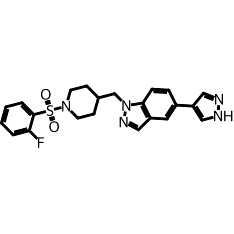 O=S(=O)(c1ccccc1F)N1CCC(Cn2ncc3cc(-c4cn[nH]c4)ccc32)CC1